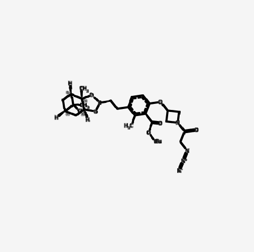 Cc1c(CCB2O[C@@H]3C[C@@H]4C[C@@H](C4(C)C)[C@]3(C)O2)ccc(OC2CN(C(=O)CN=[N+]=[N-])C2)c1C(=O)OC(C)(C)C